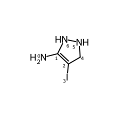 NC1=C(I)CNN1